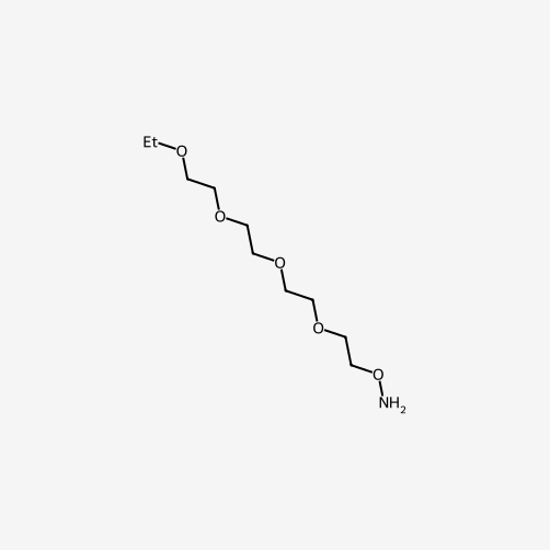 CCOCCOCCOCCOCCON